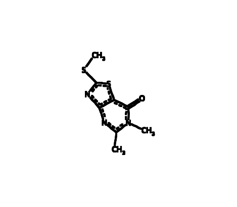 CSc1nc2nc(C)n(C)c(=O)c2s1